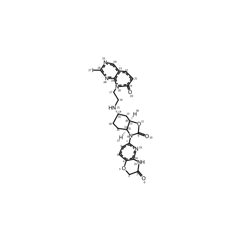 O=C1COc2ccc(N3C(=O)O[C@@H]4C[C@@H](NCCn5c(=O)ccc6cnc(I)nc65)CC[C@@H]43)nc2N1